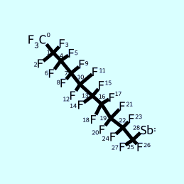 FC(F)(F)C(F)(F)C(F)(F)C(F)(F)C(F)(F)C(F)(F)C(F)(F)C(F)(F)C(F)(F)[C](F)(F)[Sb]